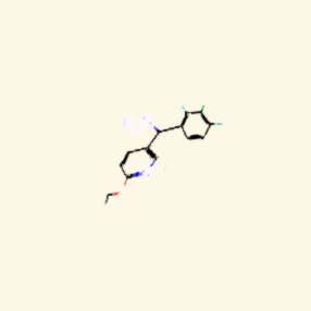 Cl.NC(c1ccc(OCC(F)(F)F)nc1)c1ccc(F)c(Cl)c1F